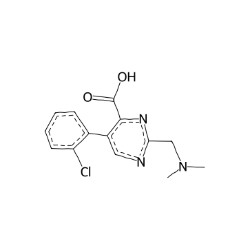 CN(C)Cc1ncc(-c2ccccc2Cl)c(C(=O)O)n1